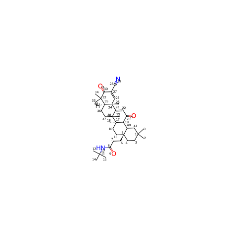 CC1(C)CC[C@]2(CCC(=O)NC(C)(C)C)CC[C@]3(C)C(C(=O)C=C4[C@@]5(C)C=C(C#N)C(=O)C(C)(C)[C@@H]5CC[C@]43C)C2C1